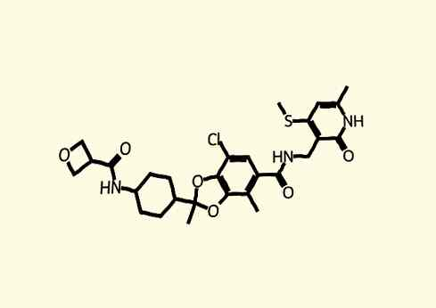 CSc1cc(C)[nH]c(=O)c1CNC(=O)c1cc(Cl)c2c(c1C)OC(C)(C1CCC(NC(=O)C3COC3)CC1)O2